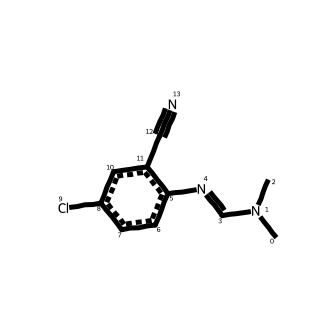 CN(C)/C=N/c1ccc(Cl)cc1C#N